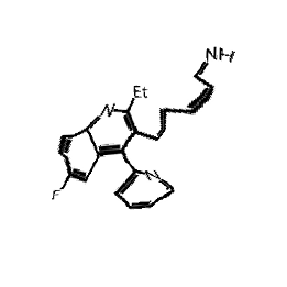 CCc1nc2ccc(F)cc2c(-c2ccccn2)c1/C=C/C=C\C=N